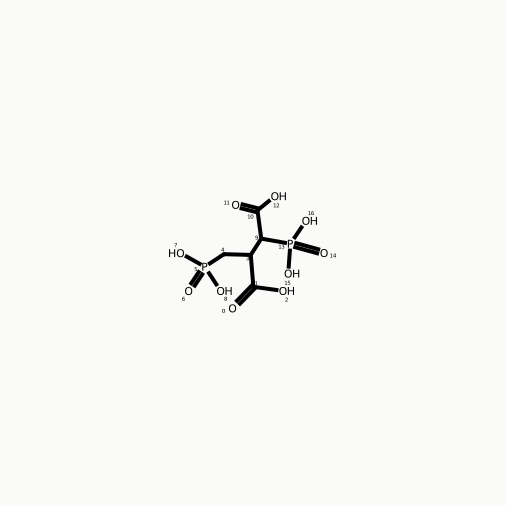 O=C(O)C(CP(=O)(O)O)C(C(=O)O)P(=O)(O)O